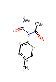 COC(=O)N(C(=O)OC)c1ccc(C)cc1